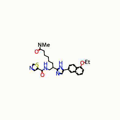 CCOc1cccc2cc(-c3cnc(C(CCCCCC(=O)NC)CNC(=O)c4cncs4)[nH]3)ccc12